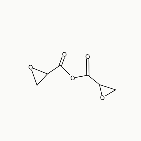 O=C(OC(=O)C1CO1)C1CO1